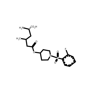 CC(CC(=O)OC1CCN(S(=O)(=O)c2ccccc2F)CC1)C[C@H](N)C(=O)O